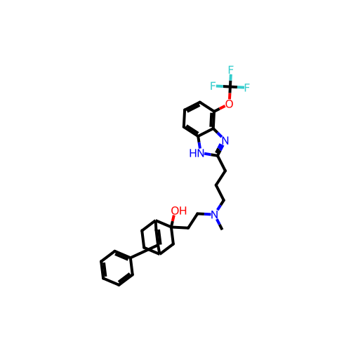 CN(CCCc1nc2c(OC(F)(F)F)cccc2[nH]1)CCC1(O)CC2CCC1C=C2c1ccccc1